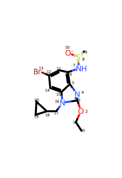 CCOc1nc2c(N[S+](C)[O-])cc(Br)cc2n1CC1CC1